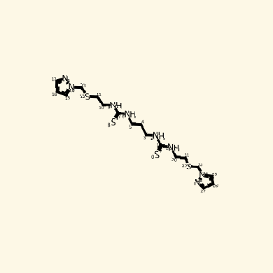 S=C(NCCCNC(=S)NCCSCn1cccn1)NCCSCn1cccn1